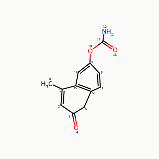 CC1=CC(=O)Cc2ccc(OC(N)=O)cc21